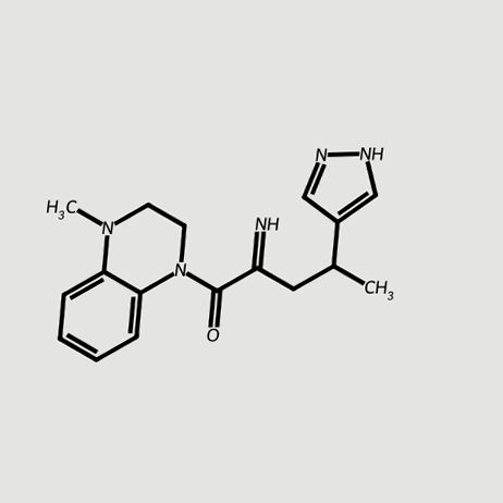 CC(CC(=N)C(=O)N1CCN(C)c2ccccc21)c1cn[nH]c1